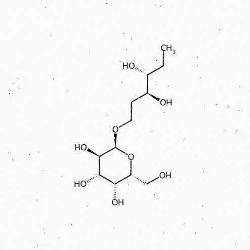 CC[C@@H](O)[C@@H](O)CCO[C@H]1O[C@H](CO)[C@H](O)[C@H](O)[C@H]1O